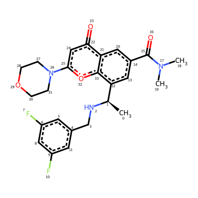 C[C@@H](NCc1cc(F)cc(F)c1)c1cc(C(=O)N(C)C)cc2c(=O)cc(N3CCOCC3)oc12